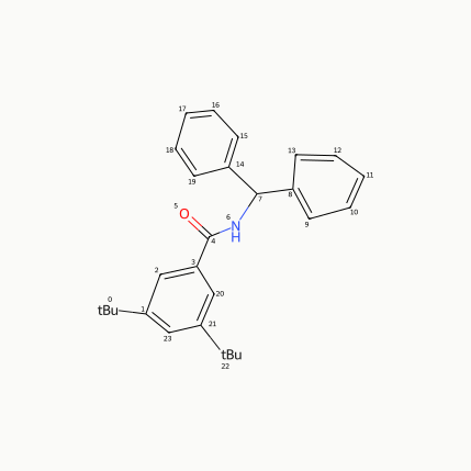 CC(C)(C)c1cc(C(=O)NC(c2ccccc2)c2ccccc2)cc(C(C)(C)C)c1